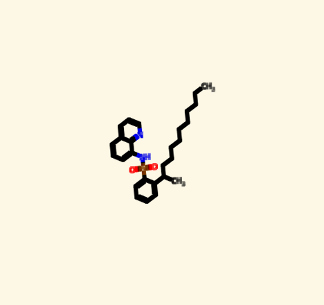 CCCCCCCCCCC(C)c1ccccc1S(=O)(=O)Nc1cccc2cccnc12